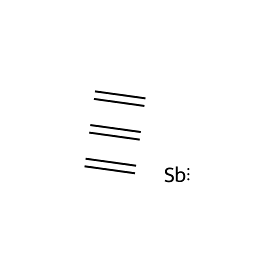 C=C.C=C.C=C.[Sb]